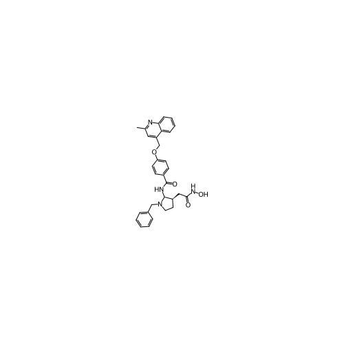 Cc1cc(COc2ccc(C(=O)NC3[C@@H](CC(=O)NO)CCN3Cc3ccccc3)cc2)c2ccccc2n1